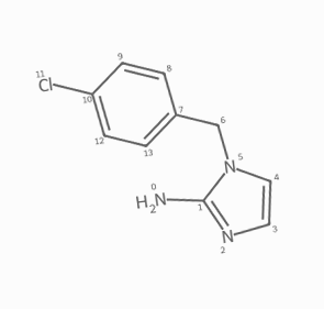 Nc1nccn1Cc1ccc(Cl)cc1